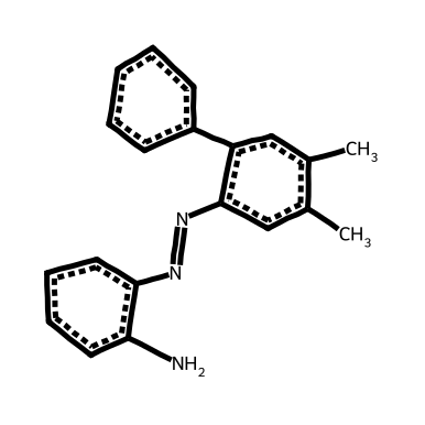 Cc1cc(N=Nc2ccccc2N)c(-c2ccccc2)cc1C